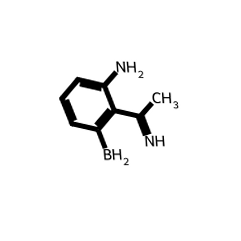 Bc1cccc(N)c1C(C)=N